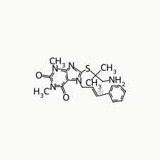 Cn1c(=O)c2c(nc(SC(C)(C)CN)n2C/C=C/c2ccccc2)n(C)c1=O